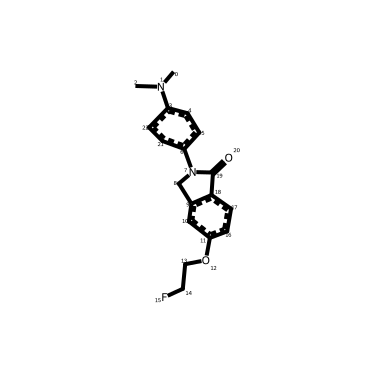 CN(C)c1ccc(N2Cc3cc(OCCF)ccc3C2=O)cc1